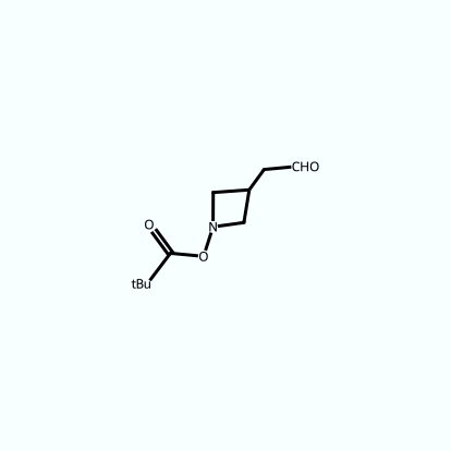 CC(C)(C)C(=O)ON1CC(CC=O)C1